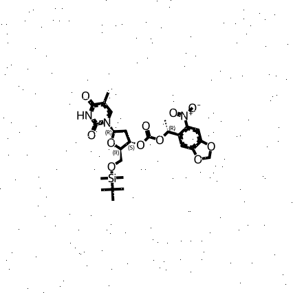 Cc1cn([C@H]2C[C@H](OC(=O)O[C@H](C)c3cc4c(cc3[N+](=O)[O-])OCO4)[C@@H](CO[Si](C)(C)C(C)(C)C)O2)c(=O)[nH]c1=O